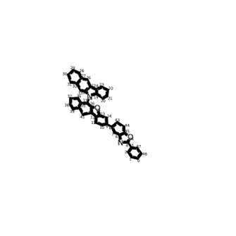 c1ccc(-c2nc3cc(-c4ccc5c(c4)oc4c(-n6c7ccccc7c7cc8ccccc8cc76)c6ccccc6cc45)ccc3o2)cc1